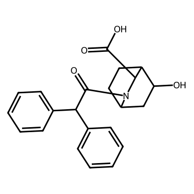 O=C(O)C1C2CCC(CC2O)N1C(=O)C(c1ccccc1)c1ccccc1